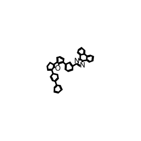 C1=CC(C2=CCCc3c2oc2c(-c4cccc(-c5cnc6c7ccccc7c7ccccc7c6n5)c4)cccc32)CC=C1c1ccccc1